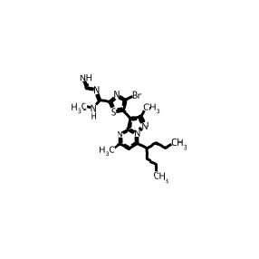 CCCC(CCC)c1cc(C)nc2c(-c3sc(/C(=N/C=N)NC)nc3Br)c(C)nn12